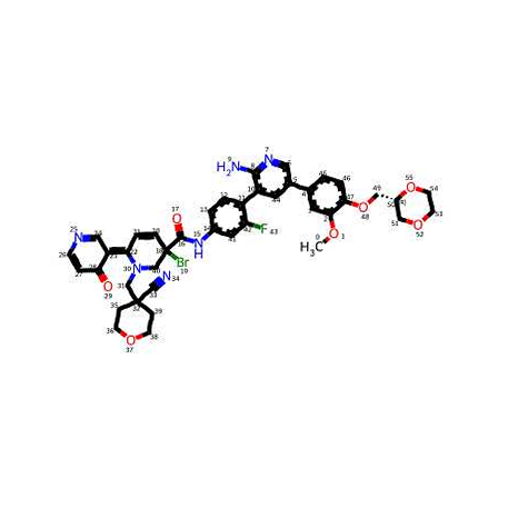 COc1cc(-c2cnc(N)c(-c3ccc(NC(=O)C4(Br)C=CC(=C5C=NC=CC5=O)N(CC5(C#N)CCOCC5)C4)cc3F)c2)ccc1OC[C@H]1COCCO1